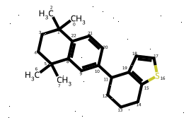 CC1(C)CCC(C)(C)c2cc(C3CCCc4sccc43)ccc21